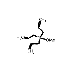 C=CC[Si](CC=C)(CC=C)OC